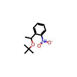 CC(OC(C)(C)C)c1ccccc1[N+](=O)[O-]